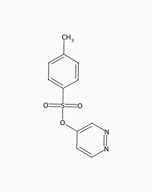 Cc1ccc(S(=O)(=O)Oc2ccnnc2)cc1